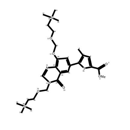 COC(=O)c1cc(C)c(-c2cc(OCOCC[Si](C)(C)C)c3ncn(COCC[Si](C)(C)C)c(=O)c3c2)s1